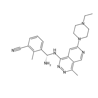 CCN1CCN(c2cc3c(N[C@H](N)c4cccc(C#N)c4C)nnc(C)c3cn2)CC1